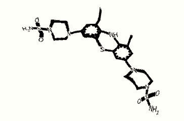 Cc1cc(N2CCN(S(N)(=O)=O)CC2)cc2c1Nc1c(C)cc(N3CCN(S(N)(=O)=O)CC3)cc1S2